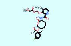 CCOCC(=O)OCOc1c(OC)ccnc1C(=O)N[C@H]1CCC[C@H](Cc2ccc(F)cc2)[C@@H](OC(=O)C(C)C)[C@H](C)OC1=O